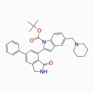 CC(C)(C)OC(=O)n1c(-c2cc(-c3ccccc3)cc3c2C(=O)NC3)cc2cc(CN3CCCCC3)ccc21